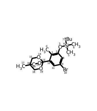 Cc1c(O[Si](C)(C)C(C)(C)C)cc(Br)cc1C12OCC(C)(CO1)CO2